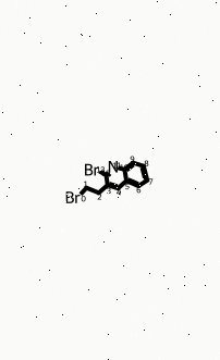 BrCCc1cc2ccccc2nc1Br